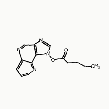 CCCCC(=O)On1cnc2cnc3cccnc3c21